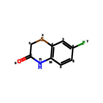 O=C1CSc2cc(F)[c]cc2N1